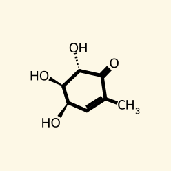 CC1=C[C@@H](O)[C@@H](O)[C@H](O)C1=O